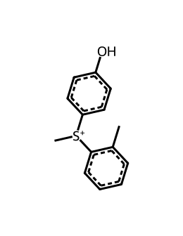 Cc1ccccc1[S+](C)c1ccc(O)cc1